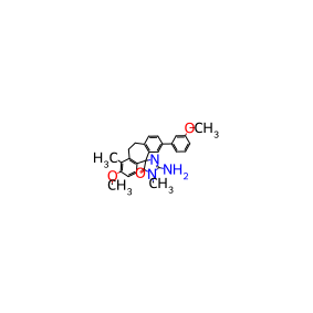 COc1cccc(-c2ccc3c(c2)C2(N=C(N)N(C)C2=O)c2ccc(OC)c(C)c2CC3)c1